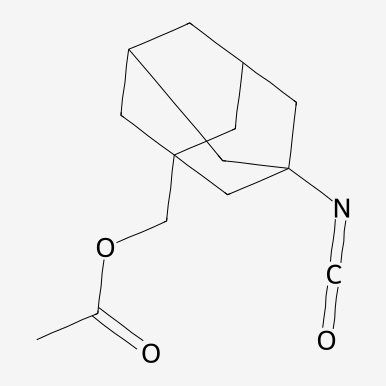 CC(=O)OCC12CC3CC(C1)CC(N=C=O)(C3)C2